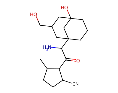 CC1CCC(C#N)C1C(=O)C(N)C12CCCC(O)(CC(CO)C1)C2